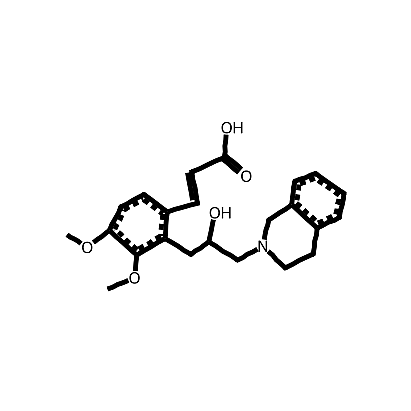 COc1ccc(C=CC(=O)O)c(CC(O)CN2CCc3ccccc3C2)c1OC